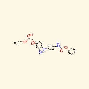 CCOC(O)COc1ccc2c(c1)ncn2-c1ccc(NC(=O)Oc2ccccc2)cc1